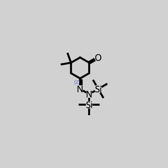 CC1(C)CC(=O)C/C(=N\N([Si](C)(C)C)[Si](C)(C)C)C1